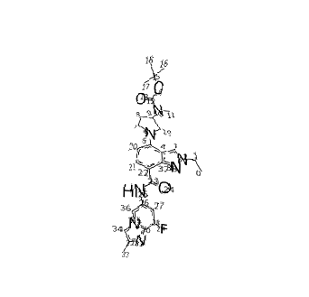 CCn1cc2c(N3CCC(N(C)C(=O)OC(C)(C)C)C3)ccc(C(=O)Nc3cc(F)c4nc(C)cn4c3)c2n1